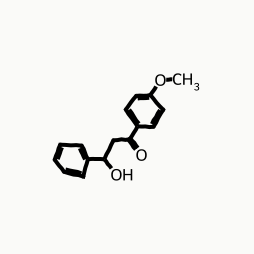 COc1ccc(C(=O)CC(O)c2ccccc2)cc1